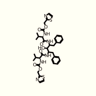 CC(C)[C@H](NC(=O)OCc1nccs1)C(=O)NC(Cc1ccccc1)C(O)C(Cc1ccccc1)NC(=O)[C@@H](NC(=O)OCc1nccs1)C(C)C